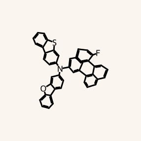 Fc1ccccc1-c1cccc2cccc(-c3cccc(N(c4ccc5c(c4)oc4ccccc45)c4ccc5c(c4)sc4ccccc45)c3)c12